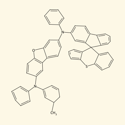 CC1C=C(N(c2ccccc2)c2ccc3oc4cc(N(c5ccccc5)c5ccc6c(c5)C5(c7ccccc7Sc7ccccc75)c5ccccc5-6)ccc4c3c2)C=CC1